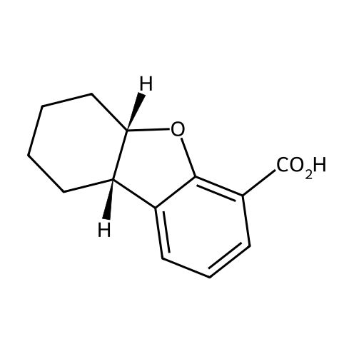 O=C(O)c1cccc2c1O[C@H]1CCCC[C@@H]21